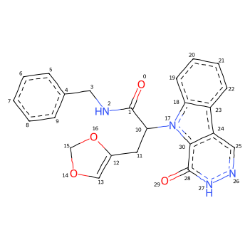 O=C(NCc1ccccc1)C(CC1=COCO1)n1c2ccccc2c2cn[nH]c(=O)c21